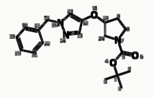 CC(C)(C)OC(=O)N1CCC(Oc2cnn(Cc3ccccc3)c2)C1